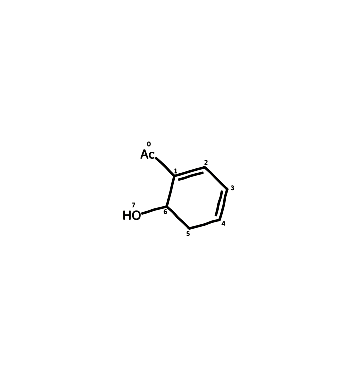 CC(=O)C1=CC=CCC1O